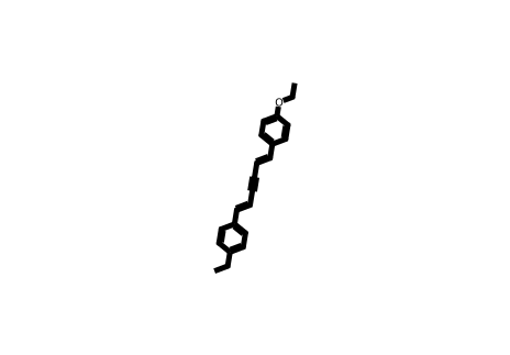 CCOc1ccc(C=CC#CC=Cc2ccc(CC)cc2)cc1